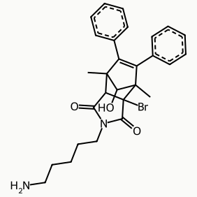 CC12C(c3ccccc3)=C(c3ccccc3)C(C)(C1O)C1(Br)C(=O)N(CCCCCN)C(=O)C21